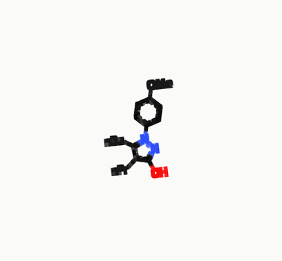 CCCCc1c(CCC)c(O)nn1-c1ccc(OC)cc1